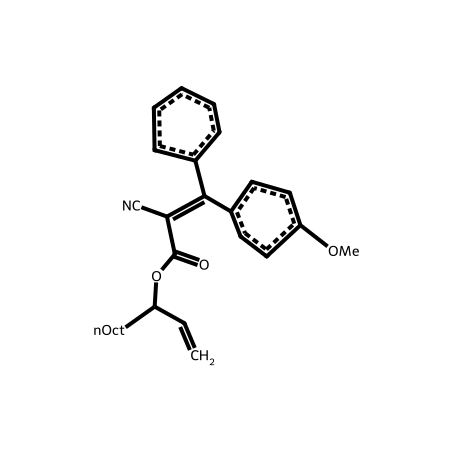 C=CC(CCCCCCCC)OC(=O)/C(C#N)=C(/c1ccccc1)c1ccc(OC)cc1